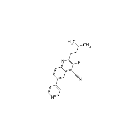 CC(C)CCc1nc2ccc(-c3ccncc3)cc2c(C#N)c1F